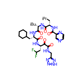 CCC(C)[C@H](NC(=O)[C@H](CC(C)C)NC(=O)c1cnccn1)C(=O)N[C@@H](CC1CCCCC1)C(=O)N[C@@H](CC(F)F)C(=O)C(=O)NCc1nn[nH]n1